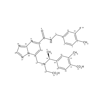 Cc1ccc(CNC(=O)c2cc(CN(CC(=O)O)[C@@H](C)c3ccc(C(=O)O)c(C)c3)n3ncnc3n2)cc1F